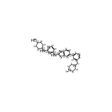 CN1CCN(Cc2cncc(-c3ccc4nc(Nc5ccnc(NC6CCC(O)CC6)n5)sc4c3)c2)CC1